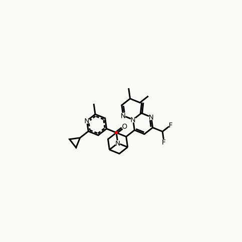 C=C1N=C(C(F)F)C=C(C2CCC3CC2N3C(=O)c2cc(C)nc(C3CC3)c2)N1/N=C\C(C)CC